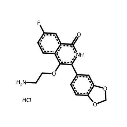 Cl.NCCOc1c(-c2ccc3c(c2)OCO3)[nH]c(=O)c2cc(F)ccc12